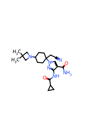 CC1(C)CN(C2CCC(CC#N)(n3cc(C(N)=O)c(NC(=O)C4CC4)n3)CC2)C1